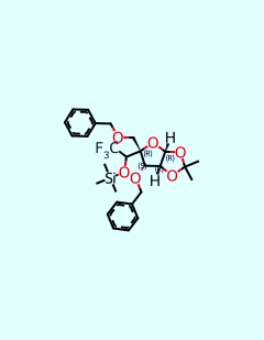 CC1(C)O[C@H]2O[C@@](COCc3ccccc3)(C(O[Si](C)(C)C)C(F)(F)F)[C@@H](OCc3ccccc3)[C@H]2O1